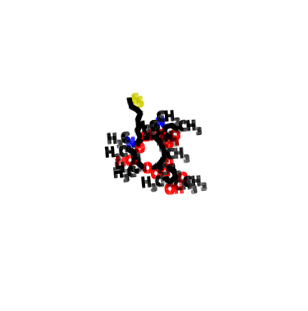 CC[C@H]1OC(=O)[C@H](C)[C@@H](O[C@H]2C[C@@](C)(OC)[C@@H](O)[C@H](C)O2)[C@H](C)[C@@H](O[C@@H]2O[C@H](C)CC(N(C)C)[C@H]2O)[C@](C)(O)C[C@@H](C)CC2(C(=O)CCCCC3CCSS3)O[C@H]([C@@H](C)N2C)[C@]1(C)O